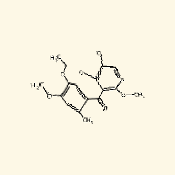 CCOc1cc(C(=O)c2c(OC)ncc(Cl)c2Cl)c(C)cc1OC